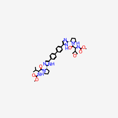 COC(=O)NC(C(=O)N1CCC[C@H]1c1ncc(-c2ccc(-c3ccc(-c4cnc([C@@H]5CCCN5C(=O)C(NC(=O)OC)C5COC5)[nH]4)cc3)cc2)[nH]1)C(C)C